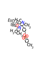 CCOC(=O)[C@@H](OC(C)(C)C)c1c(C)nc(C)c(-c2ccc(COS(=O)(=O)c3ccc(C)cc3)cc2)c1N1CCC(C)(C)CC1